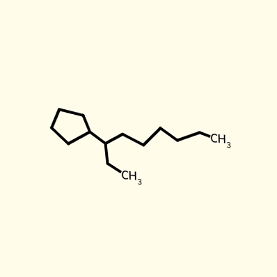 CCCCCCC(CC)C1CCCC1